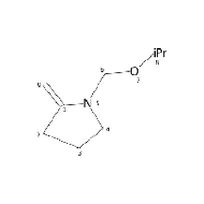 C=C1CCCN1COC(C)C